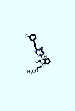 COCCN1C(=O)N(C2=N/C=C(C#Cc3cccc(F)c3)\C=C\C=C\2)[C@@H]2CCC[C@@H]21